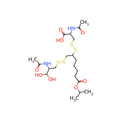 CC(=O)NC(CSSC(CCCCC(=O)OC(C)C)CSSCC(NC(C)=O)C(O)O)C(=O)O